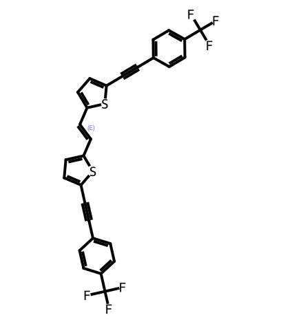 FC(F)(F)c1ccc(C#Cc2ccc(/C=C/c3ccc(C#Cc4ccc(C(F)(F)F)cc4)s3)s2)cc1